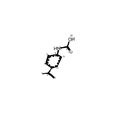 C=C(C)c1ccc(NC(=O)O)cc1